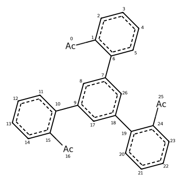 CC(=O)c1ccccc1-c1cc(-c2ccccc2C(C)=O)cc(-c2ccccc2C(C)=O)c1